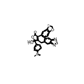 CN(C)c1ccc(C2(O)OC(=O)C(c3ccc4c(c3)OCO4)=C2Cc2ccc3nsnc3c2)cc1